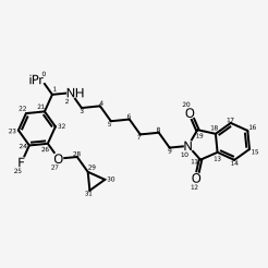 CC(C)C(NCCCCCCCN1C(=O)c2ccccc2C1=O)c1ccc(F)c(OCC2CC2)c1